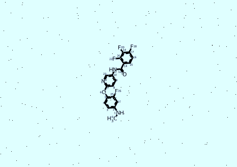 CNc1ccc(Oc2ccc(NC(=O)c3ccc(F)c(F)c3F)cn2)c(F)c1